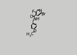 COc1ccc(CNC(=O)c2cc(Br)ncc2F)cc1